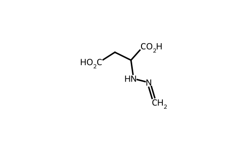 C=NNC(CC(=O)O)C(=O)O